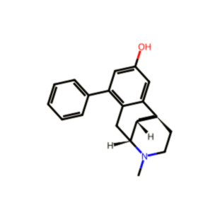 CN1CC[C@]23CCCC[C@H]2[C@H]1Cc1c(-c2ccccc2)cc(O)cc13